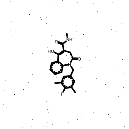 CNC(=O)C1=C(O)c2ccccc2N(Cc2cc(C)c(F)c(C)c2)C(=O)C1